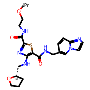 CC(C)OCCNC(=O)c1nc(NC[C@@H]2CCCO2)c(C(=O)NCc2ccc3nccn3c2)s1